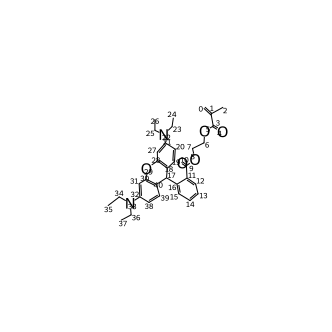 C=C(C)C(=O)OCCOC(=O)c1ccccc1C1c2ccc(N(CC)CC)cc2Oc2cc(N(CC)CC)ccc21